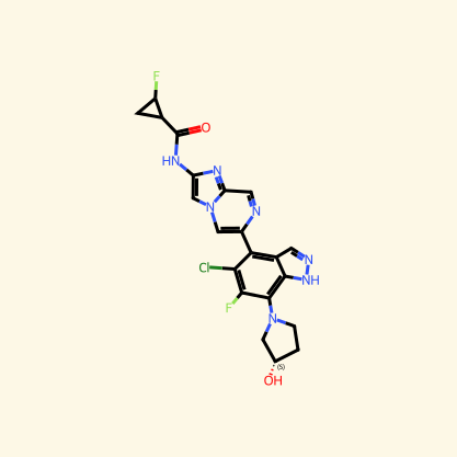 O=C(Nc1cn2cc(-c3c(Cl)c(F)c(N4CC[C@H](O)C4)c4[nH]ncc34)ncc2n1)C1CC1F